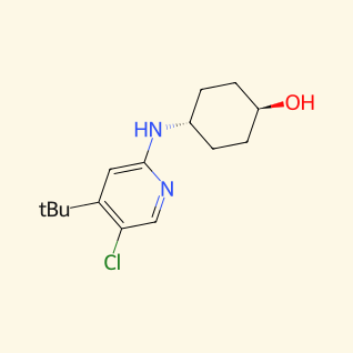 CC(C)(C)c1cc(N[C@H]2CC[C@H](O)CC2)ncc1Cl